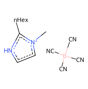 CCCCCCc1[nH]cc[n+]1C.N#C[B-](C#N)(C#N)C#N